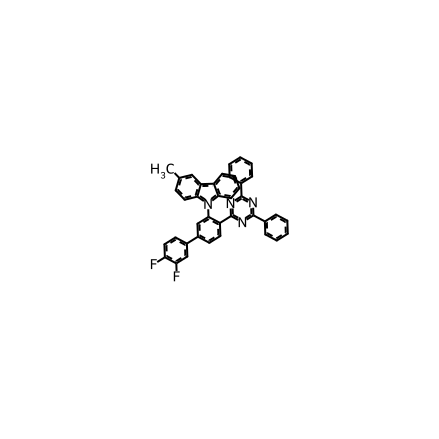 Cc1ccc2c(c1)c1ccccc1n2-c1cc(-c2ccc(F)c(F)c2)ccc1-c1nc(-c2ccccc2)nc(-c2ccccc2)n1